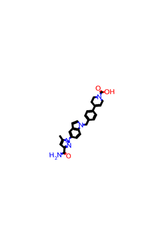 Cc1cc(C(N)=O)nn1-c1ccc2c(ccn2Cc2ccc(C3=CCN(C(=O)O)CC3)cc2)c1